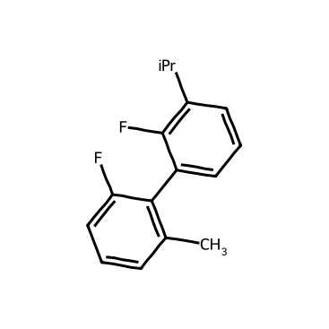 Cc1cccc(F)c1-c1cccc(C(C)C)c1F